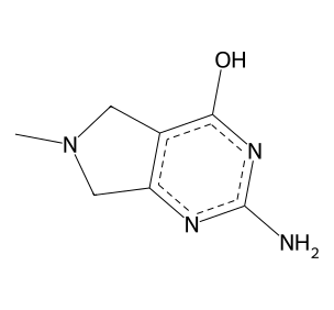 CN1Cc2nc(N)nc(O)c2C1